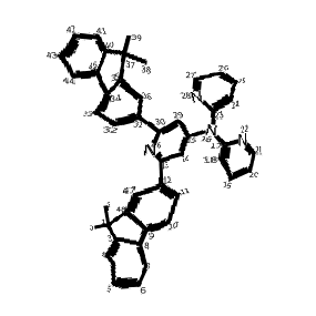 CC1(C)c2ccccc2-c2ccc(-c3cc(N(c4ccccn4)c4ccccn4)cc(-c4ccc5c(c4)C(C)(C)c4ccccc4-5)n3)cc21